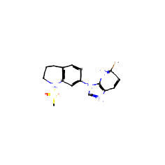 CS(=O)(=O)N1CCCc2ccc(-n3cnc4ccc(Br)nc43)cc21